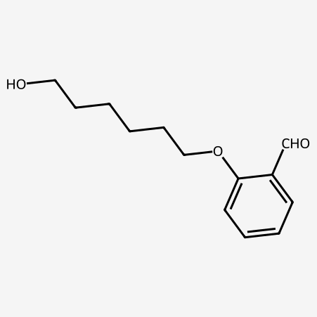 O=Cc1ccccc1OCCCCCCO